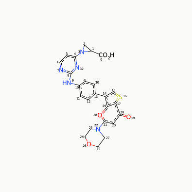 O=C(O)C1CN1c1ccnc(Nc2ccc(-c3csc4c(=O)cc(N5CCOCC5)oc34)cc2)n1